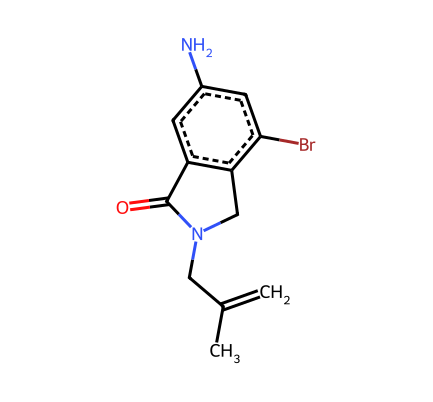 C=C(C)CN1Cc2c(Br)cc(N)cc2C1=O